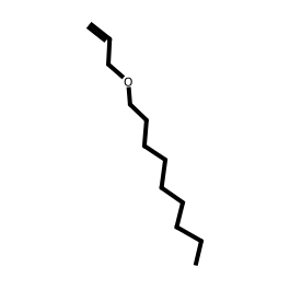 C=CCOCCCCCCCCC